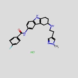 Cl.Cn1cc(CCNC2CCc3[nH]c4ccc(NC(=O)c5ccc(F)cc5)cc4c3C2)cn1